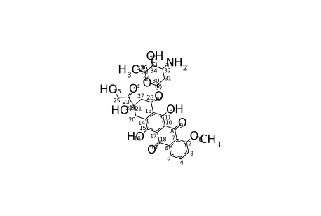 COc1cccc2c1C(=O)c1c(O)c3c(c(O)c1C2=O)C[C@@](O)(C(=O)CO)CC3O[C@H]1CC(N)[C@H](O)[C@H](C)O1